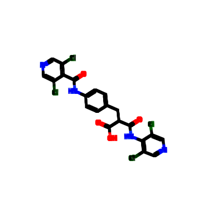 O=C(Nc1ccc(CC(C(=O)O)C(=O)Nc2c(Cl)cncc2Cl)cc1)c1c(Cl)cncc1Cl